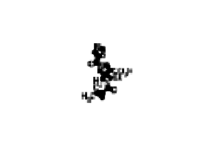 CC[C@@H]1N(C(=O)[C@H]2CC2(C)C)CC12CN(C(=O)c1cncs1)CC2C(=O)O